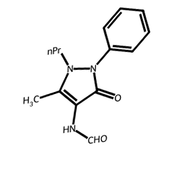 CCCn1c(C)c(NC=O)c(=O)n1-c1ccccc1